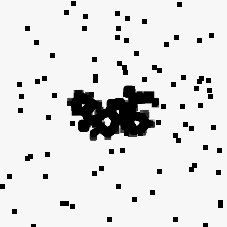 C[C@@H]1CC[C@H](N(C(=O)CC(N)=O)C2(C)CCCCC2)C(=O)CN1C(=O)c1ccccn1